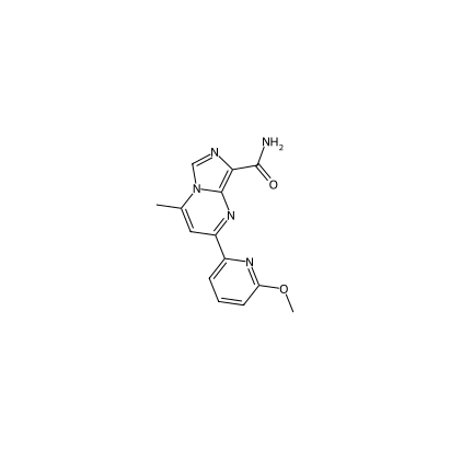 COc1cccc(-c2cc(C)n3cnc(C(N)=O)c3n2)n1